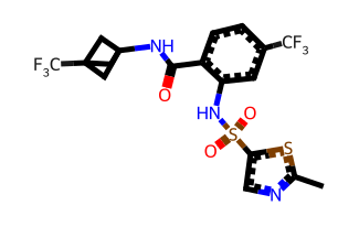 Cc1ncc(S(=O)(=O)Nc2cc(C(F)(F)F)ccc2C(=O)NC23CC(C(F)(F)F)(C2)C3)s1